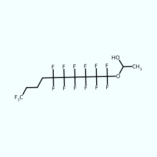 CC(O)OC(F)(F)C(F)(F)C(F)(F)C(F)(F)C(F)(F)C(F)(F)CCCC(F)(F)F